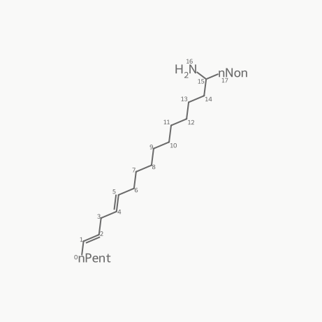 CCCCC/C=C/C/C=C/CCCCCCCCCC(N)CCCCCCCCC